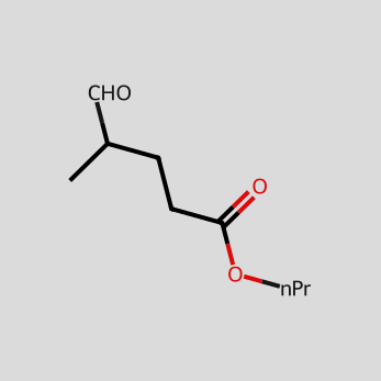 CCCOC(=O)CCC(C)C=O